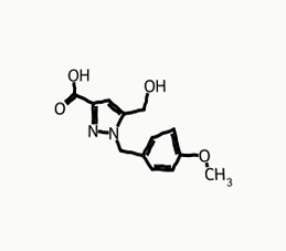 COc1ccc(Cn2nc(C(=O)O)cc2CO)cc1